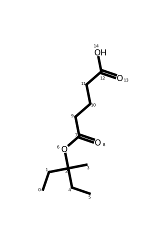 CCC(C)(CC)OC(=O)CCCC(=O)O